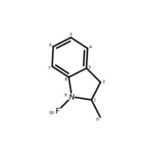 CC1Cc2ccccc2N1F